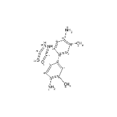 Cc1cc(-c2ccc(N)c(C)c2)ccc1N.N=C=O.N=C=O